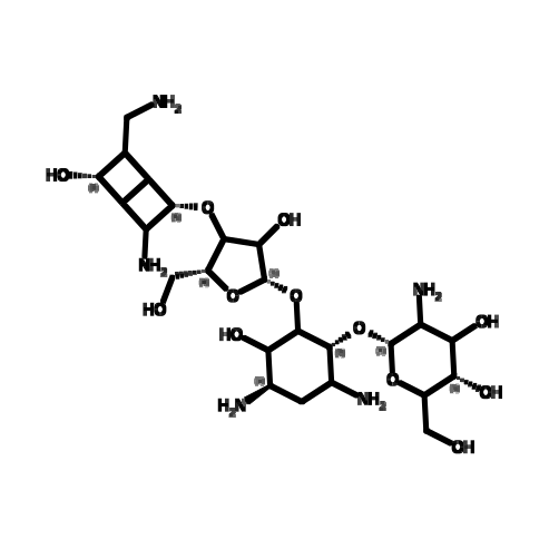 NCC1C2C(C(N)[C@H]2OC2C(O)[C@H](OC3C(O)[C@H](N)CC(N)[C@H]3O[C@H]3OC(CO)[C@@H](O)C(O)C3N)O[C@@H]2CO)[C@@H]1O